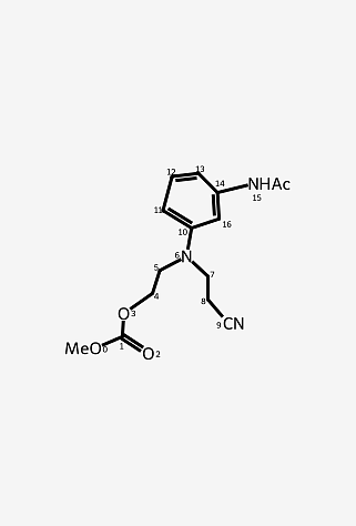 COC(=O)OCCN(CCC#N)c1cccc(NC(C)=O)c1